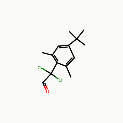 Cc1cc(C(C)(C)C)cc(C)c1C(Cl)(Cl)C=O